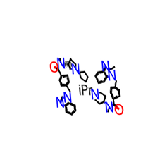 CN(C(=O)c1ccc(Cn2cnc3ccccc32)cc1)[C@@H]1CCN(C2CCCC2)C1.Cc1nc2ccccc2n1Cc1ccc(C(=O)N(C)C2CCN(C(C)C)CC2)cc1